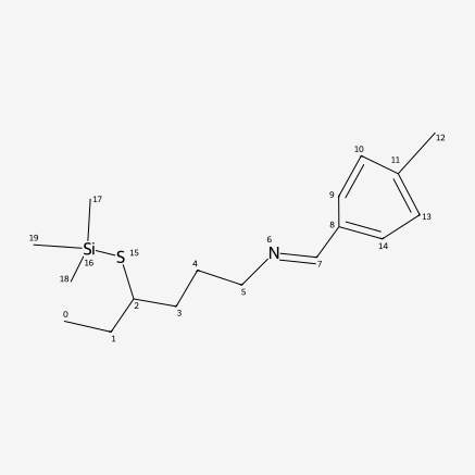 CCC(CCC/N=C/c1ccc(C)cc1)S[Si](C)(C)C